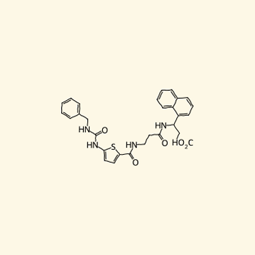 O=C(O)CC(NC(=O)CCNC(=O)c1ccc(NC(=O)NCc2ccccc2)s1)c1cccc2ccccc12